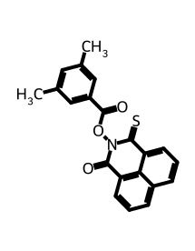 Cc1cc(C)cc(C(=O)ON2C(=O)c3cccc4cccc(c34)C2=S)c1